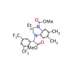 CC[C@H]1CN(C(C(=O)OC)c2cc(C(F)(F)F)cc(C(F)(F)F)c2)c2cc(C)c(C)cc2N1C(=O)OC